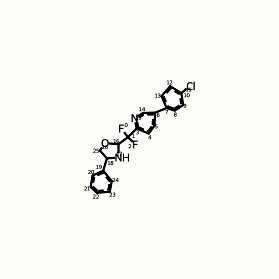 FC(F)(c1ccc(-c2ccc(Cl)cc2)cn1)C1NC(c2ccccc2)CO1